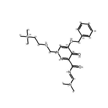 CN(C)C=NC(=O)c1nn(COCC[Si](C)(C)C)cc(OCc2ccccc2)c1=O